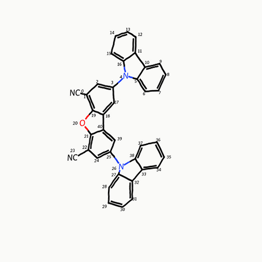 N#Cc1cc(-n2c3ccccc3c3ccccc32)cc2c1oc1c(C#N)cc(-n3c4ccccc4c4ccccc43)cc12